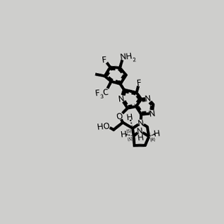 Cc1c(F)c(N)cc(-c2nc3c4c(ncnc4c2F)N2C[C@H]4CC[C@H](N4)[C@H]2C(CO)O3)c1C(F)(F)F